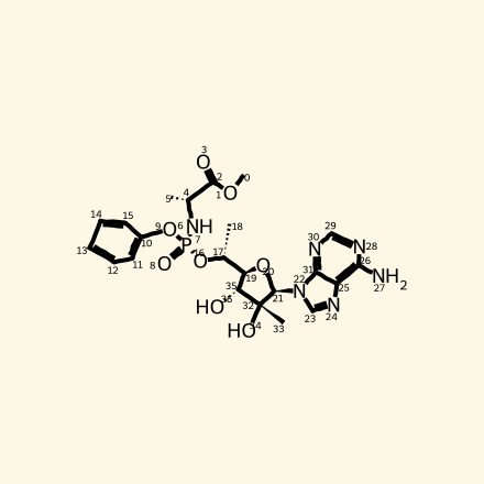 COC(=O)[C@@H](C)N[P@@](=O)(Oc1ccccc1)O[C@H](C)[C@H]1O[C@@H](n2cnc3c(N)ncnc32)[C@](C)(O)[C@@H]1O